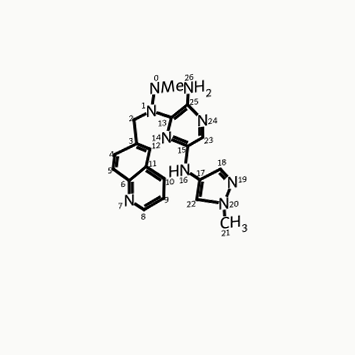 CNN(Cc1ccc2ncccc2c1)c1nc(Nc2cnn(C)c2)cnc1N